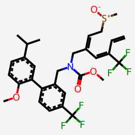 C=C/C(=C\C(=C/C[S+](C)[O-])CN(Cc1cc(C(F)(F)F)ccc1-c1cc(C(C)C)ccc1OC)C(=O)OC)C(F)(F)F